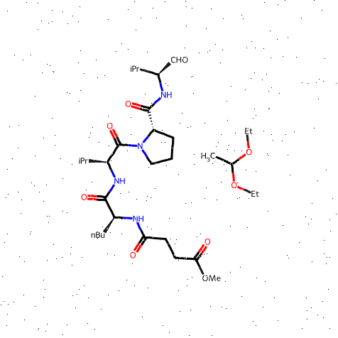 CCCC[C@H](NC(=O)CCC(=O)OC)C(=O)N[C@H](C(=O)N1CCC[C@H]1C(=O)N[C@H](C=O)C(C)C)C(C)C.CCOC(C)OCC